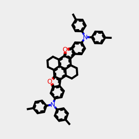 Cc1ccc(N(c2ccc(C)cc2)c2ccc3c(c2)oc2c4c5c(c6oc7cc(N(c8ccc(C)cc8)c8ccc(C)cc8)ccc7c6c6c5c(c23)CCC6)CCC4)cc1